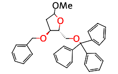 COC1C[C@H](OCc2ccccc2)[C@@H](COC(c2ccccc2)(c2ccccc2)c2ccccc2)O1